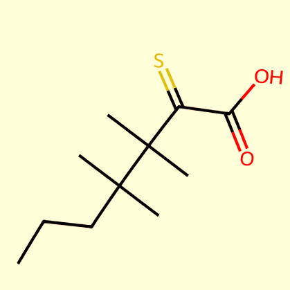 CCCC(C)(C)C(C)(C)C(=S)C(=O)O